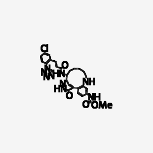 COC(=O)Nc1ccc2c(c1)NCCCCCC(NC(=O)/C=C/c1cc(Cl)ccc1-n1cnnn1)c1cc-2c(=O)[nH]n1